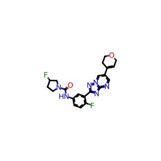 O=C(Nc1ccc(F)c(-c2nc3ncc(C4=CCOCC4)cn3n2)c1)N1CCC(F)C1